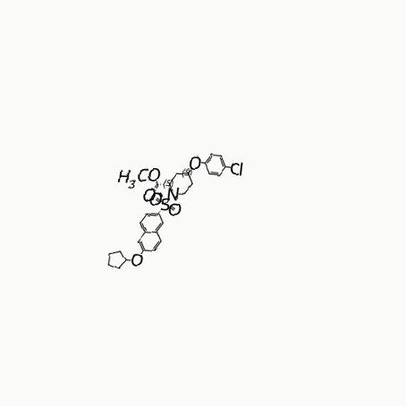 COC(=O)[C@@H]1C[C@@H](Oc2ccc(Cl)cc2)CCN1S(=O)(=O)c1ccc2cc(OC3CCCC3)ccc2c1